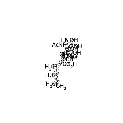 CC(=O)N[C@H]1C(N)[C@H](O)C(CO)O[C@H]1OC1[C@H](OP(=O)(O)OCC(OC/C=C(/C)CC/C=C(\C)CCC=C(C)C)C(=O)O)OC(C(N)=O)C(O)[C@@H]1O